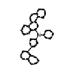 c1ccc(N(c2ccc(-c3cccc4ccccc34)cc2)c2cc3c4ccccc4ccc3c3ccccc23)cc1